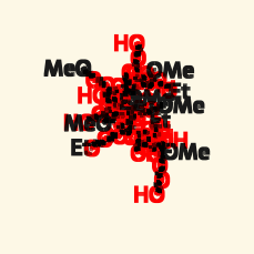 CCOCCOCCO[C@H]1C(O[C@H]2C(COCCOCC)O[C@H](O[C@H]3C(COCC)O[C@H](O[C@H]4C(CO)O[C@H](O[C@H]5C(COCCOCCO)O[C@H](OC)[C@H](OCCOCC)C5O)C(OC)C4O)[C@H](OCCOCCOC)C3O)C(OCCO)C2OC)OC(COCCOCCOC)[C@H](O[C@H]2OC(CO)[C@H](OC3OC(COCCOCCO)[C@H](OC)C(O)[C@H]3OCCOCC)C(O)C2O)C1O